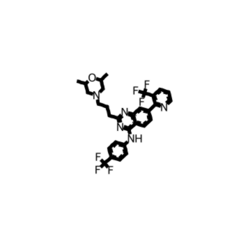 CC1CN(CCCc2nc(Nc3ccc(C(F)(F)F)cc3)c3ccc(-c4ncccc4C(F)(F)F)cc3n2)CC(C)O1